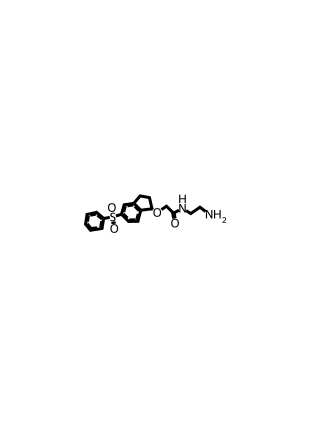 NCCNC(=O)COC1CCc2cc(S(=O)(=O)c3ccccc3)ccc21